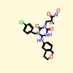 C[C@@H](CN1C(=O)NC(Nc2ccc3c(c2)CCOC3)N(Cc2ccc(Cl)cc2)C1=O)C(=O)N=O